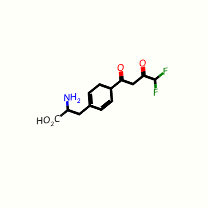 NC(CC1=CCC(C(=O)CC(=O)C(F)F)C=C1)C(=O)O